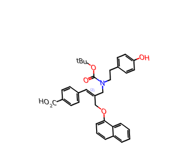 CC(C)(C)OC(=O)N(CCc1ccc(O)cc1)C/C(=C/c1ccc(C(=O)O)cc1)COc1cccc2ccccc12